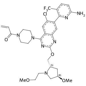 C=CC(=O)N1CCN(c2nc(OC[C@@H]3C[C@@H](OC)CN3CCOC)nc3cc(-c4nc(N)ccc4C(F)(F)F)c(Cl)cc23)CC1